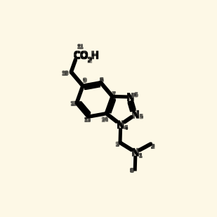 CN(C)Cn1nnc2cc(CC(=O)O)ccc21